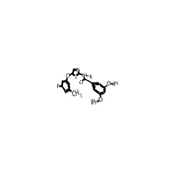 Cc1cc(F)cc(Oc2cnc(NC(=O)c3cc(OC(C)C)cc(OC(C)C)c3)s2)c1